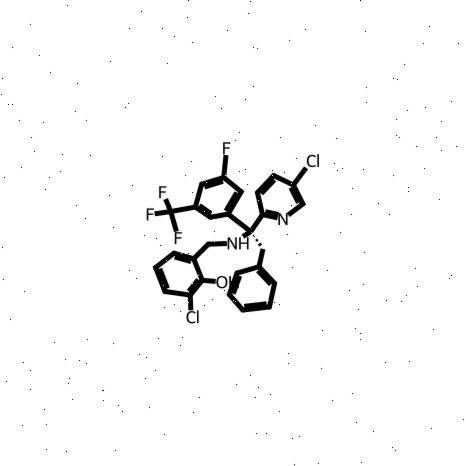 Oc1c(Cl)cccc1CN[C@@](Cc1ccccc1)(c1cc(F)cc(C(F)(F)F)c1)c1ccc(Cl)cn1